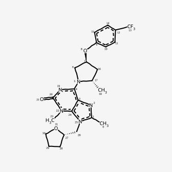 Cc1nc2c(N3C[C@@H](Oc4ccc(C(F)(F)F)cc4)C[C@@H]3C)nc(=O)n(C)c2n1C[C@@H]1CCCO1